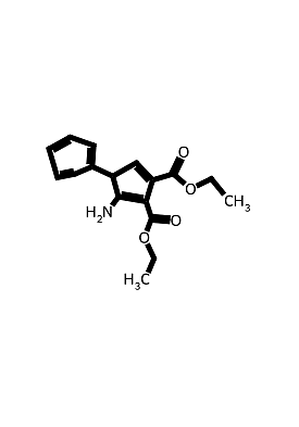 CCOC(=O)C1=CC(c2ccccc2)C(N)=C1C(=O)OCC